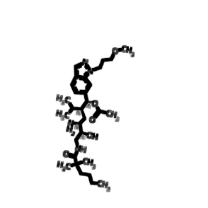 CCCCC(C)(C)C(=O)NC[C@H](O)[C@@H](N)C[C@@H](C(C)C)[C@@H](OC(C)=O)c1ccc2cnn(CCCOC)c2c1